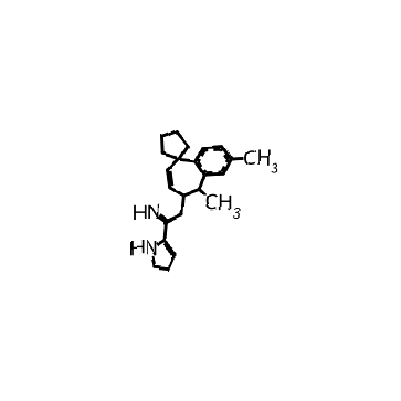 Cc1ccc2c(c1)C(C)C(CC(=N)C1=CCCN1)C=CC21CCCC1